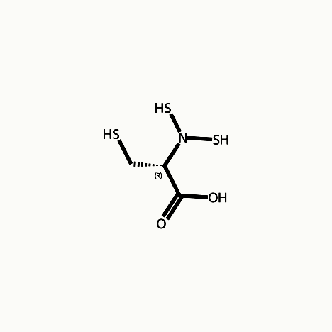 O=C(O)[C@H](CS)N(S)S